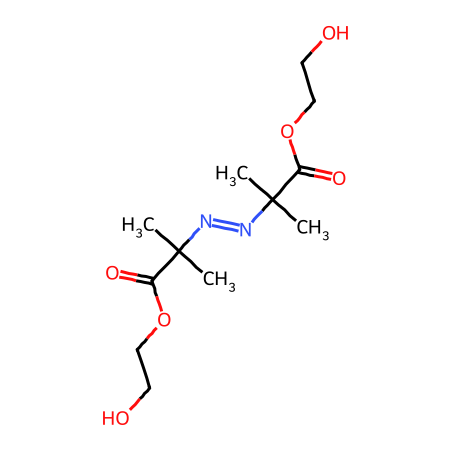 CC(C)(N=NC(C)(C)C(=O)OCCO)C(=O)OCCO